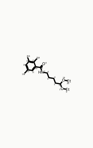 CCOC(CCCCNC(=O)c1cc(I)cc(I)c1I)OCC